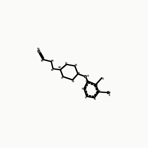 Cc1c(Br)cccc1OC1CCC(CCC=O)CC1